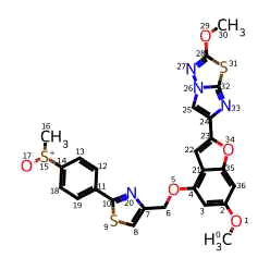 COc1cc(OCc2csc(-c3ccc([S+](C)[O-])cc3)n2)c2cc(-c3cn4nc(OC)sc4n3)oc2c1